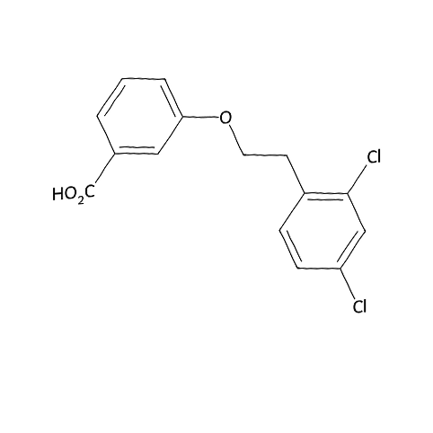 O=C(O)c1cccc(OCCc2ccc(Cl)cc2Cl)c1